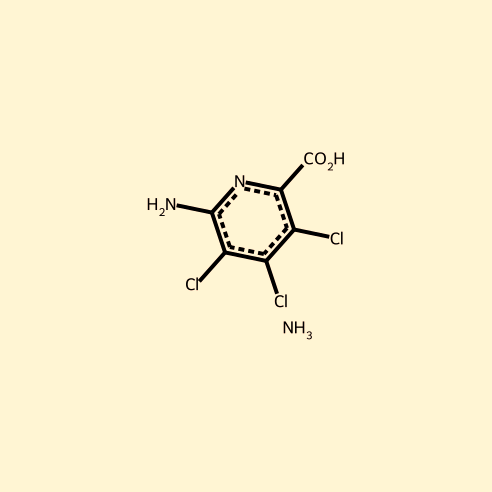 N.Nc1nc(C(=O)O)c(Cl)c(Cl)c1Cl